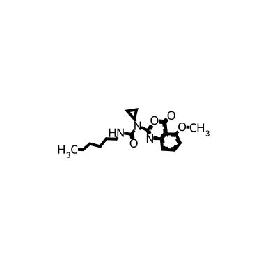 CCCCCCNC(=O)N(c1nc2cccc(OC)c2c(=O)o1)C1CC1